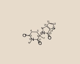 CN1C(=O)CCC(C)(N2Cc3ccsc3C2=O)C1=O